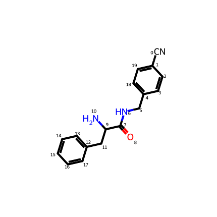 N#Cc1ccc(CNC(=O)C(N)Cc2ccccc2)cc1